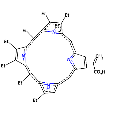 C=CC(=O)O.CCC1=C(CC)c2nc1c(CC)c1[nH]c(cc3nc(cc4c(CC)c(CC)c(c2CC)n4CC)C=C3)cc1CC